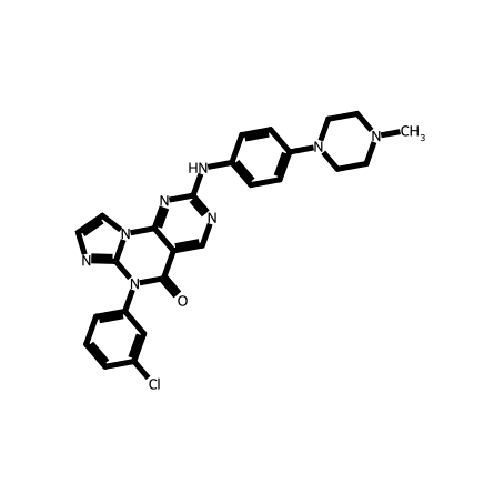 CN1CCN(c2ccc(Nc3ncc4c(=O)n(-c5cccc(Cl)c5)c5nccn5c4n3)cc2)CC1